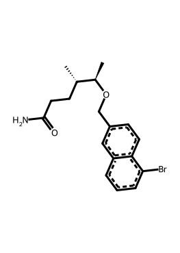 C[C@@H](CCC(N)=O)[C@@H](C)OCc1ccc2c(Br)cccc2c1